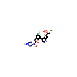 O=C([C@H]1Cc2cc(Cl)cc(-c3ccnc4cc(C(O)CCl)sc34)c2O1)N1CCNCC1